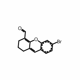 O=CC1=C2Oc3cc(Br)ccc3C=C2CCC1